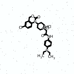 CCN(CC)c1ccc(NC(=O)CN2CCC(N3C(=O)OCc4cc(Cl)ccc43)CC2)cc1.Cl.Cl